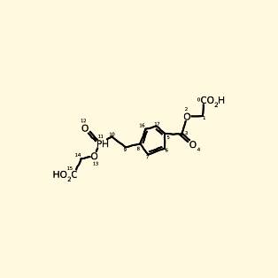 O=C(O)COC(=O)c1ccc(CC[PH](=O)OCC(=O)O)cc1